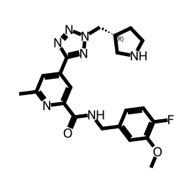 COc1cc(CNC(=O)c2cc(-c3nnn(C[C@@H]4CCNC4)n3)cc(C)n2)ccc1F